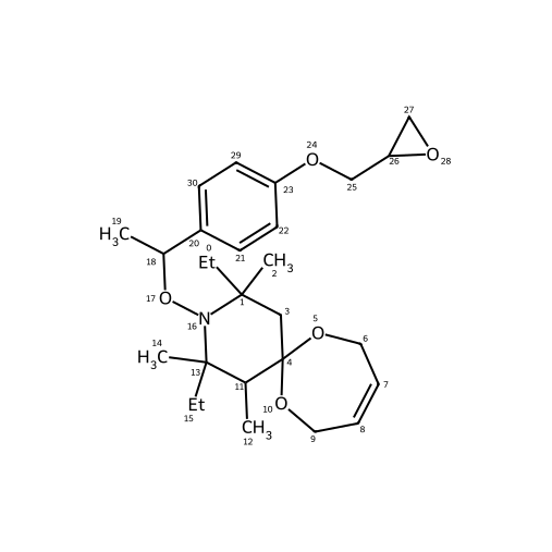 CCC1(C)CC2(OCC=CCO2)C(C)C(C)(CC)N1OC(C)c1ccc(OCC2CO2)cc1